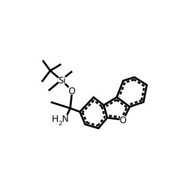 CC(N)(O[Si](C)(C)C(C)(C)C)c1ccc2oc3ccccc3c2c1